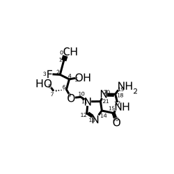 C#CC(F)C(O)[C@@H](CO)OCN1C=NC2C(=O)NC(N)=NC21